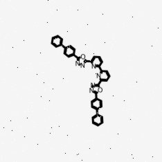 c1ccc(-c2ccc(-c3nnc(-c4cccc(-c5cccc(-c6nnc(-c7ccc(-c8ccccc8)cc7)o6)n5)n4)o3)cc2)cc1